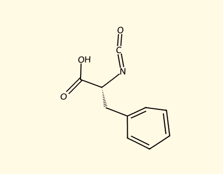 O=C=N[C@H](Cc1ccccc1)C(=O)O